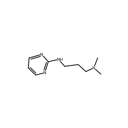 CN(C)CCCNc1nc[c]cn1